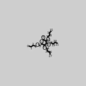 CCCCOC[C@H]1OC(=O)[C@H](OCCCC)[C@H](OCCCC)[C@@H]1OCCCC